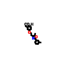 Cc1cccc(-c2nc(CCOc3cccc(CC(=O)O)c3)c(C)o2)c1